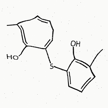 Cc1cccc(Sc2cccc(C)c2O)c1O